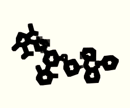 Cc1cccc(C)c1-c1cc(Oc2cccc([C@H](c3ccccn3)c3ccccc3Sc3ccccc3)c2)cc(-n2cc(C3=C(C(C)C)C=CC(C)C3C(C)C)nn2)c1